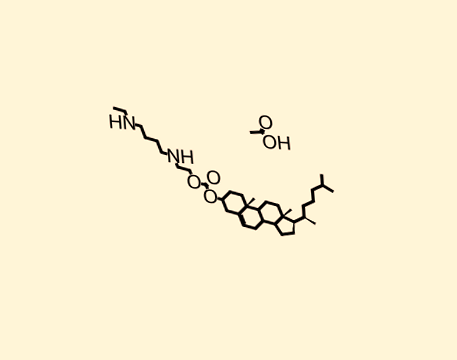 CC(=O)O.CCNCCCCNCCOC(=O)OC1CC[C@@]2(C)C(=CCC3C2CC[C@@]2(C)C3CC[C@@H]2[C@H](C)CCCC(C)C)C1